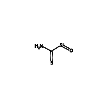 NC(=S)[S+]=O